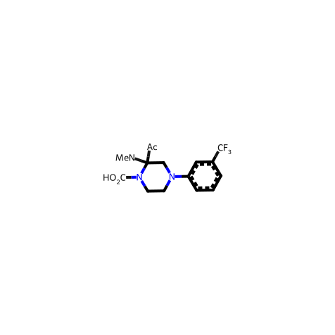 CNC1(C(C)=O)CN(c2cccc(C(F)(F)F)c2)CCN1C(=O)O